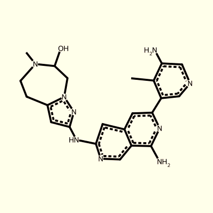 Cc1c(N)cncc1-c1cc2cc(Nc3cc4n(n3)CC(O)N(C)CC4)ncc2c(N)n1